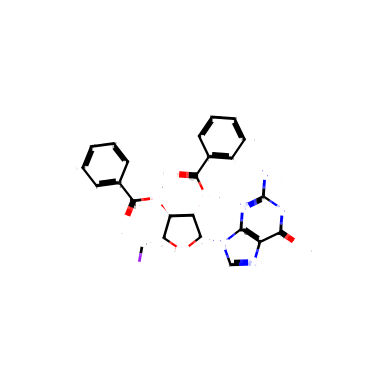 Nc1nc2c(ncn2[C@@H]2O[C@H](CI)[C@@H](OC(=O)c3ccccc3)[C@@H]2OC(=O)c2ccccc2)c(=O)[nH]1